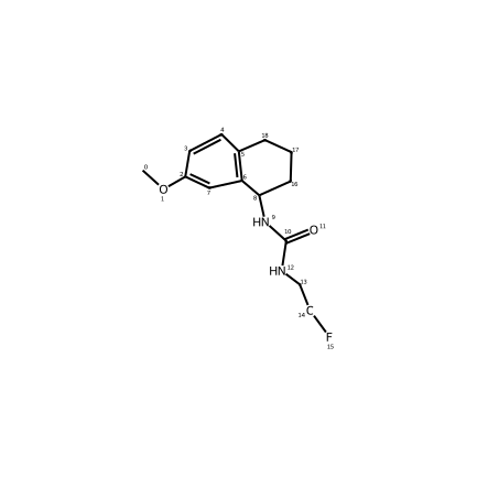 COc1ccc2c(c1)C(NC(=O)NCCF)CCC2